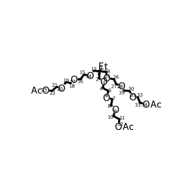 CCC(COCCOCCOCCOC(C)=O)(COCCOCCOCCOC(C)=O)COCCOCCOCCOC(C)=O